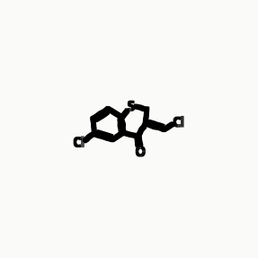 O=C1/C(=C/Cl)CSc2ccc(Cl)cc21